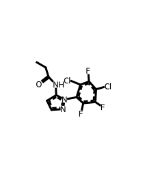 CCC(=O)Nc1ccnn1-c1c(F)c(F)c(Cl)c(F)c1Cl